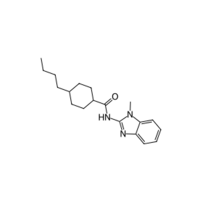 CCCCC1CCC(C(=O)Nc2nc3ccccc3n2C)CC1